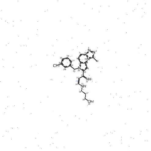 Cc1nnc2ccc3c(cc(C(=N)/C=C\NCCCO)n3Cc3cccc(Cl)c3)n12